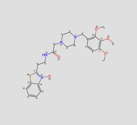 COc1ccc(CN2CCN(CC(=O)NCCc3sc4ccccc4[n+]3[O-])CC2)c(OC)c1OC